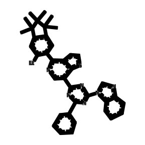 CCc1cc2c(cc1-c1ncc(-c3nc(-c4ccccc4)nc(-n4cnc5ccccc54)n3)c3sccc13)C(C)(C)C(C)(C)C2(C)C